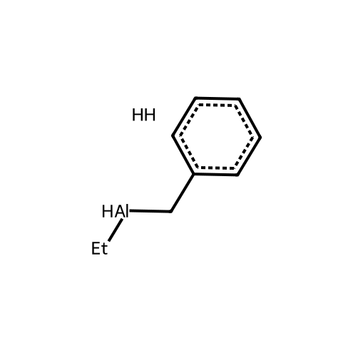 C[CH2][AlH][CH2]c1ccccc1.[HH]